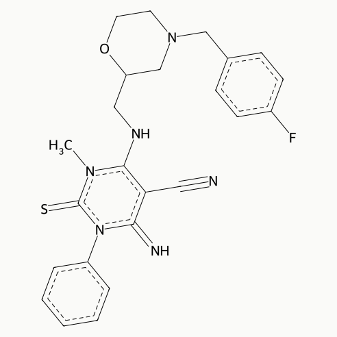 Cn1c(NCC2CN(Cc3ccc(F)cc3)CCO2)c(C#N)c(=N)n(-c2ccccc2)c1=S